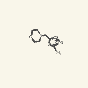 Cc1noc(CN2CCOCC2)n1